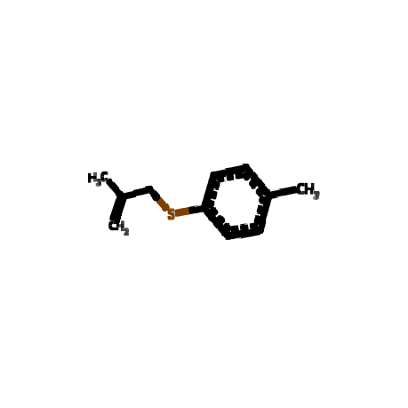 C=C(C)CSc1ccc(C)cc1